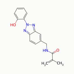 C=C(C)C(=O)NCc1ccc2nn(-c3ccccc3O)nc2c1